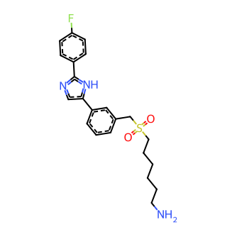 NCCCCCCS(=O)(=O)Cc1cccc(-c2cnc(-c3ccc(F)cc3)[nH]2)c1